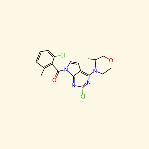 Cc1cccc(Cl)c1C(=O)n1ccc2c(N3CCOCC3C)nc(Cl)nc21